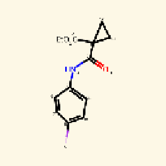 CCOC(=O)C1(C(=O)Nc2ccc(I)cc2)CC1